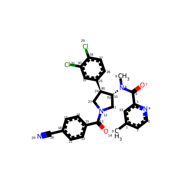 Cc1ccnc(C(=O)N(C)[C@@H]2CN(C(=O)c3ccc(C#N)cc3)C[C@H]2c2ccc(Cl)c(Cl)c2)c1